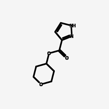 O=C(OC1CCOCC1)c1cc[nH]n1